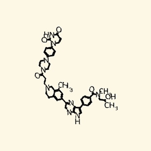 Cc1cc(-c2cnc3[nH]cc(-c4ccc(C(=O)N(C)CC(C)O)cc4)c3n2)cc2c1CN(CCC(=O)N1CCN(c3ccc(N4CCC(=O)NC4=O)cc3)CC1)CC2